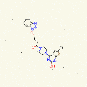 CCc1cc2c(N3CCN(C(=O)CCCOn4nnc5ccccc54)CC3)nc(O)nc2s1